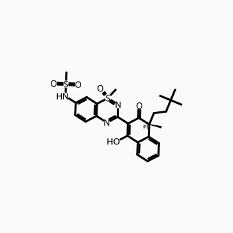 CC(C)(C)CC[C@@]1(C)C(=O)C(C2=Nc3ccc(NS(C)(=O)=O)cc3S(C)(=O)=N2)=C(O)c2ccccc21